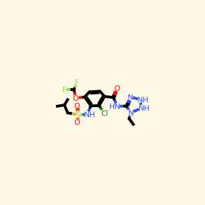 CCN1NNN=C1NC(=O)c1ccc(OC(F)F)c(NS(=O)(=O)CC(C)C)c1Cl